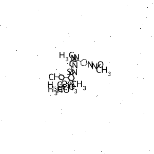 CC(=O)N1CN(C2CCC(c3nn(C)c4ccc(-c5nc6cc(C)c([C@H](OC(C)(C)C)C(=O)O)c(-c7ccc(Cl)cc7)c6s5)nc34)CC2)C1